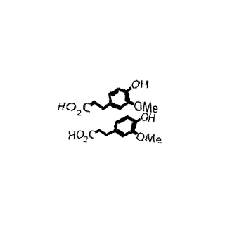 COc1cc(CCC(=O)O)ccc1O.COc1cc(CCC(=O)O)ccc1O